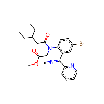 C=[N+]=C(c1ccccn1)c1cc(Br)ccc1N(CC(=O)OC)C(=O)CC(CC)CC